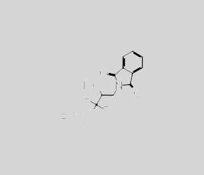 CCOC(=O)C(F)(F)C(O)CN1C(=O)c2ccccc2C1=O